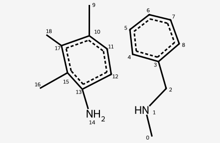 CNCc1ccccc1.Cc1ccc(N)c(C)c1C